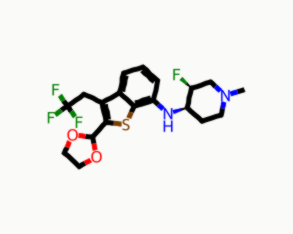 CN1CC[C@@H](Nc2cccc3c(CC(F)(F)F)c(C4OCCO4)sc23)[C@@H](F)C1